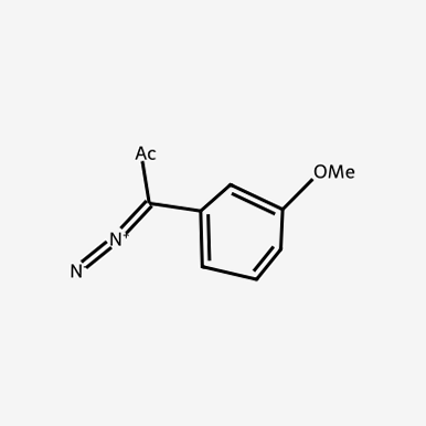 COc1cccc(C(=[N+]=[N-])C(C)=O)c1